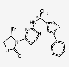 CC(C)C1COC(=O)N1c1ccnc(N[C@@H](C)c2cnn(-c3ccccc3)c2)n1